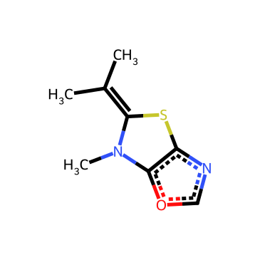 CC(C)=C1Sc2ncoc2N1C